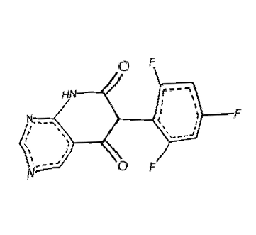 O=C1Nc2ncncc2C(=O)C1c1c(F)cc(F)cc1F